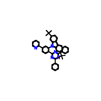 CC(C)(C)c1ccc2c3ccc(C(C)(C)C)cc3n(-c3cc(-c4ccccn4)ccc3-c3nc(-c4ccccc4)nc(-c4ccccc4)n3)c2c1